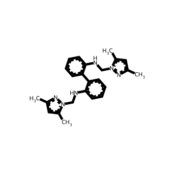 Cc1cc(C)n(CNc2ccccc2-c2ccccc2NCn2nc(C)cc2C)n1